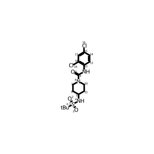 CC(C)(C)S(=O)(=O)NC1CCN(C(=O)Nc2ccc(Cl)cc2Cl)CC1